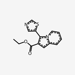 CCOC(=O)c1cc2ccccn2c1-c1cncs1